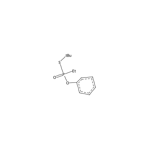 CCP(=O)(Oc1ccccc1)SC(C)(C)C